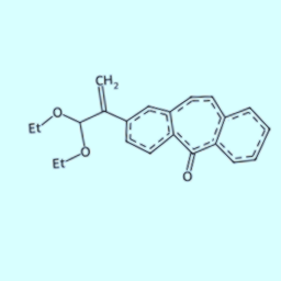 C=C(c1ccc2c(=O)c3ccccc3ccc2c1)C(OCC)OCC